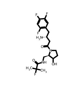 CC(C)(F)C(=O)NC[C@@H]1C(O)CCN1C(=O)C[C@H](N)Cc1cc(F)c(F)cc1F